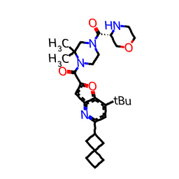 CC(C)(C)c1cc(C2CC3(CCC3)C2)nc2cc(C(=O)N3CCN(C(=O)[C@H]4COCCN4)CC3(C)C)oc12